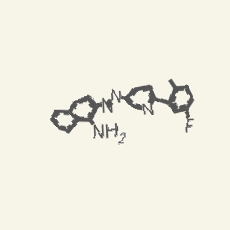 Cc1ccc(F)cc1-c1ccc(N=Nc2ccc3ccccc3c2N)cn1